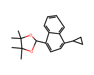 CC1(C)OC(c2ccc(C3CC3)c3ccccc23)OC1(C)C